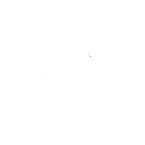 Fc1cc(Cl)cc(Cn2cccc2)c1